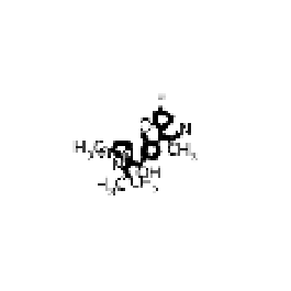 COc1cccn2c(C(O)c3ccc4c(c3)COc3cc(F)ccc3C4=C(C)C#N)c(C(C)C)nc12